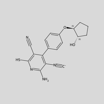 [C-]#[N+]c1c(N)nc(S)c(C#N)c1-c1ccc(O[C@H]2CCC[C@@H]2O)cc1